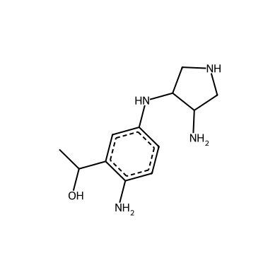 CC(O)c1cc(NC2CNCC2N)ccc1N